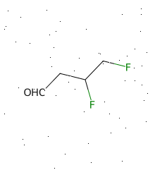 O=CCC(F)CF